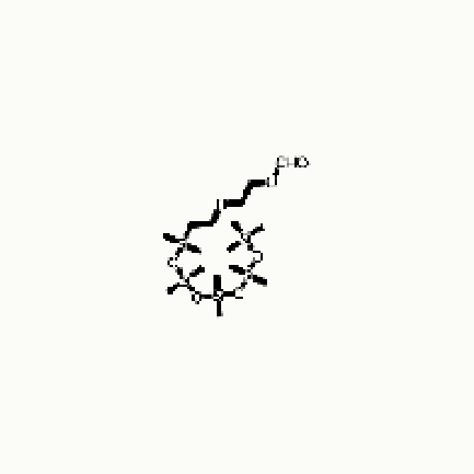 C[Si](C)(C)O[Si](C)(C)O[Si](C)(C)O[Si](C)(C)O[Si](C)(C)CCOCCO[C]=O